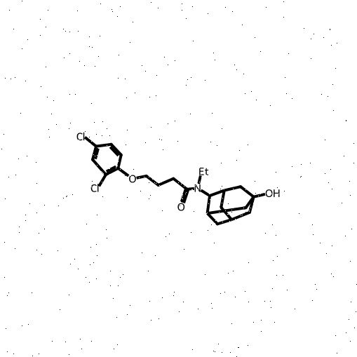 CCN(C(=O)CCCOc1ccc(Cl)cc1Cl)C1C2CC3CC1CC(O)(C3)C2